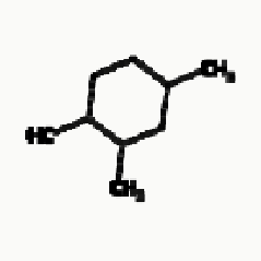 [CH]C1CCC(C)CC1C